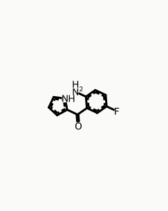 Nc1ccc(F)cc1C(=O)c1ccc[nH]1